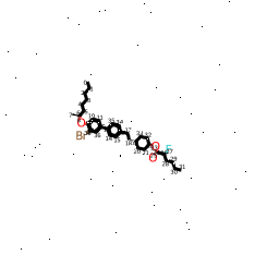 CCCCCC[C@H](C)Oc1ccc(-c2ccc(CC[C@H]3CC[C@H](OC(=O)[C@@H](F)CCCC)CC3)cc2)cc1Br